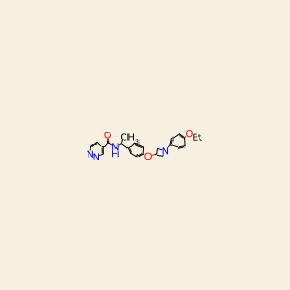 CCOc1ccc(N2CC(Oc3ccc([C@H](C)NC(=O)c4ccnnc4)cc3)C2)cc1